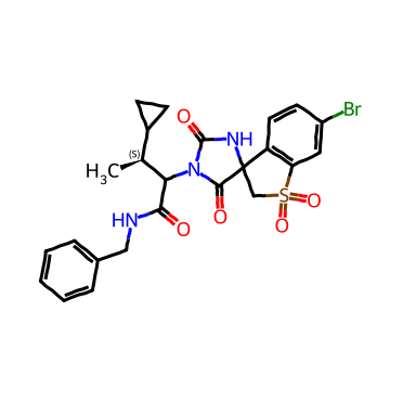 C[C@@H](C1CC1)C(C(=O)NCc1ccccc1)N1C(=O)NC2(CS(=O)(=O)c3cc(Br)ccc32)C1=O